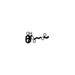 C=CC(=O)OCCCC(=O)OC12CC3CC(CC(O)(C3)C1C)C2